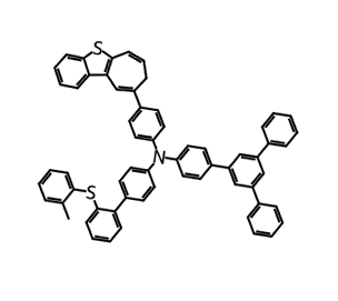 Cc1ccccc1Sc1ccccc1-c1ccc(N(c2ccc(C3=Cc4c(sc5ccccc45)C=CC3)cc2)c2ccc(-c3cc(-c4ccccc4)cc(-c4ccccc4)c3)cc2)cc1